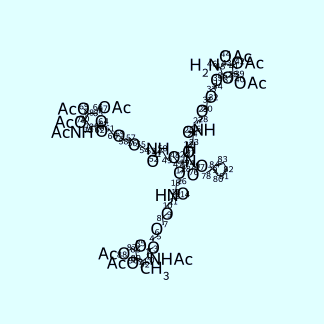 CC(=O)NC1C(OCCOCCOCCNC(=O)CCOCC(COCCC(=O)NCCOCCOCCOC2OC(COC(C)=O)C(OC(C)=O)C(OC(C)=O)C2N)(COCCC(=O)NCCOCCOCCOC2OC(COC(C)=O)C(OC(C)=O)C(OC(C)=O)C2NC(C)=O)NC(=O)OCc2ccccc2)OC(COC(C)=O)C(OC(C)=O)C1C